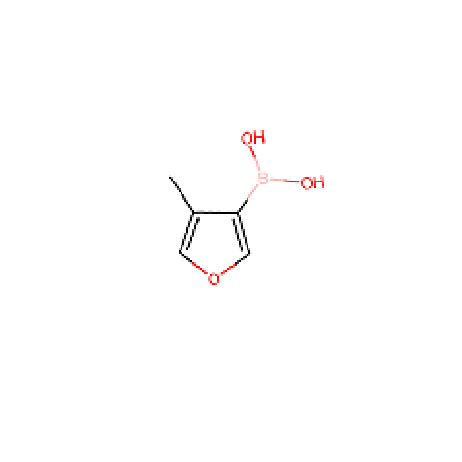 Cc1cocc1B(O)O